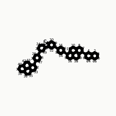 c1ccc2cc(-c3ccc4ccc5c(-c6ccc(-c7ccc8sc9ccc(-c%10ccc(-c%11ccc%12ccc%13cccc%14ccc%11c%12c%13%14)cc%10)cc9c8c7)cc6)ccc6ccc3c4c65)ccc2c1